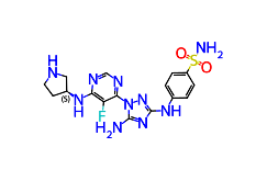 Nc1nc(Nc2ccc(S(N)(=O)=O)cc2)nn1-c1ncnc(N[C@H]2CCNC2)c1F